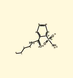 CCCCNC(=O)c1ccccc1S(N)(=O)=O